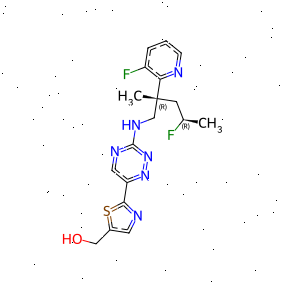 C[C@@H](F)C[C@](C)(CNc1ncc(-c2ncc(CO)s2)nn1)c1ncccc1F